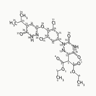 CCOC(=O)C(C(=O)OCC)c1nn(-c2cc(Cl)c(Oc3cc(C(C)C)c(=O)[nH]n3)c(Cl)c2)c(=O)[nH]c1=O